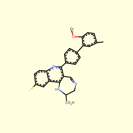 CCOc1ccc(C)cc1-c1ccc(-c2nc3ccc(F)cc3c3c2C=NCC(C(=O)O)N3)cc1